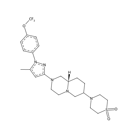 Cc1cc(N2CCN3CC(N4CCS(=O)(=O)CC4)CC[C@H]3C2)nn1-c1ccc(OC(F)(F)F)cc1